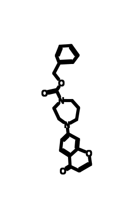 O=C(OCc1ccccc1)N1CCCN(c2ccc3c(=O)ccoc3c2)CC1